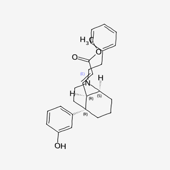 COC(=O)/C=C/[C@H]1[C@@H]2CCC[C@@]1(c1cccc(O)c1)CCN2CCc1ccccc1